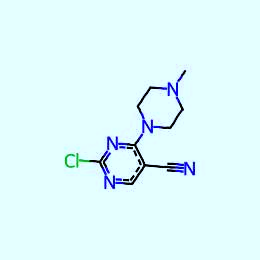 CN1CCN(c2nc(Cl)ncc2C#N)CC1